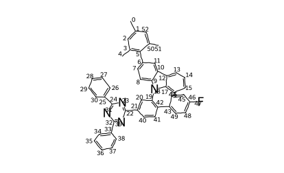 Cc1cc(C)c(-c2ccc3c(c2)c2ccccc2n3-c2cc(-c3nc(-c4ccccc4)nc(-c4ccccc4)n3)ccc2-c2ccc(F)cc2)c(C)c1